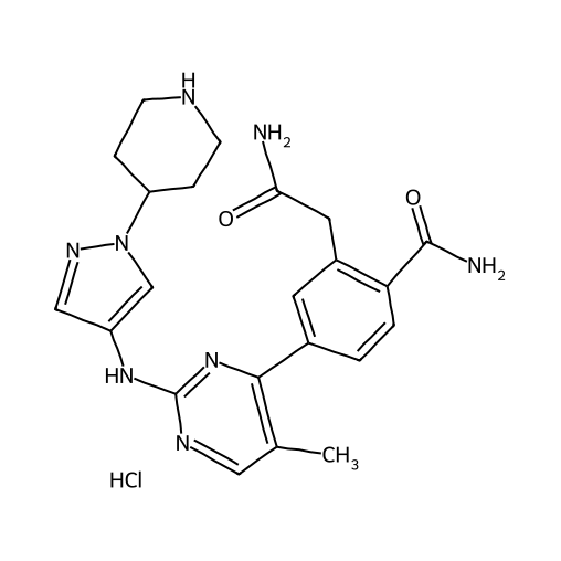 Cc1cnc(Nc2cnn(C3CCNCC3)c2)nc1-c1ccc(C(N)=O)c(CC(N)=O)c1.Cl